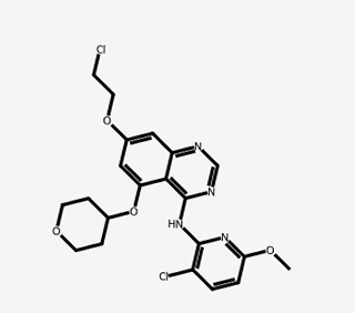 COc1ccc(Cl)c(Nc2ncnc3cc(OCCCl)cc(OC4CCOCC4)c23)n1